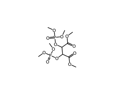 COC(=O)C(OP(=O)(OC)OC)C(OP(=O)(OC)OC)C(=O)OC